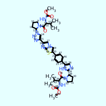 COC(=O)N[C@H](C(=O)N1CCCC1n1cc(-c2cn3cc(-c4ccc(-c5cnc([C@@H]6CCCN6C(=O)[C@@H](NC(=O)OC)C(C)C)[nH]5)cc4)sc3n2)nn1)C(C)C